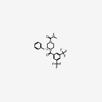 CN(C)C(=O)N1CCN(C(=O)c2cc(C(F)(F)F)cc(C(F)(F)F)c2)[C@H](Cc2ccccc2)C1